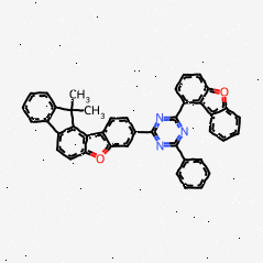 CC1(C)c2ccccc2-c2ccc3oc4cc(-c5nc(-c6ccccc6)nc(-c6cccc7oc8ccccc8c67)n5)ccc4c3c21